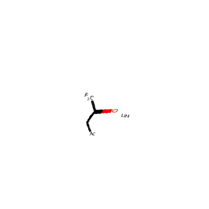 CC(=O)CC(=O)C(F)(F)F.[LiH]